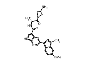 COc1ccc2c(-c3cnc4[nH]cc(C(=O)N[C@H](C)C(=O)N5CC(N)C5)c4n3)nn(C)c2c1